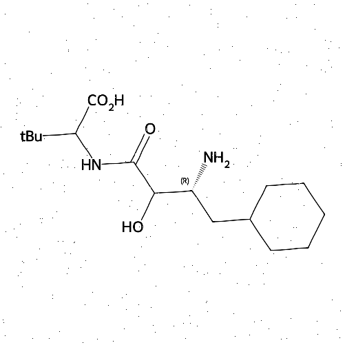 CC(C)(C)C(NC(=O)C(O)[C@H](N)CC1CCCCC1)C(=O)O